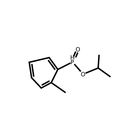 Cc1ccccc1[PH](=O)OC(C)C